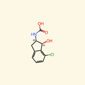 O=C(O)N[C@@H]1Cc2cccc(Cl)c2[C@@H]1O